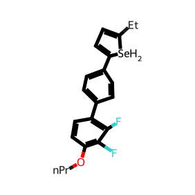 CCCOc1ccc(-c2ccc(C3=CC=C(CC)[SeH2]3)cc2)c(F)c1F